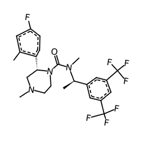 Cc1cc(F)ccc1[C@H]1CN(C)CCN1C(=O)N(C)[C@H](C)c1cc(C(F)(F)F)cc(C(F)(F)F)c1